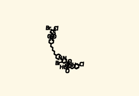 O=C(O)C(Cc1ccc(Cl)cc1)NS(=O)(=O)c1cnc(N2CCC(CCCCCC3CCN(S(=O)(=O)c4cc(Br)c(Cl)s4)CC3)CC2)c(Br)c1